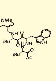 CC[C@H](C)C(NN[C@@H](Cc1c[nH]c2ccccc12)C(=O)C(=O)C(NCC(=O)[C@H](C)NC)[C@@H](C)CC)C(=O)C(C)=O